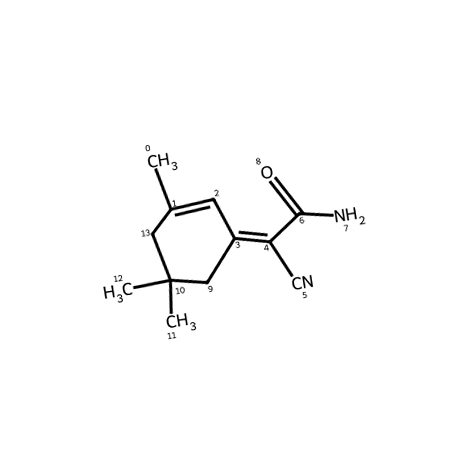 CC1=CC(=C(C#N)C(N)=O)CC(C)(C)C1